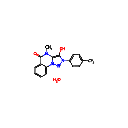 CN1C(=O)c2ccccc2N2[N]N(c3ccc(C(F)(F)F)cc3)C(O)=C12.O